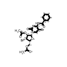 CC(=O)OC[C@H]1O[C@@H](n2cc(Br)c(NC(=O)c3ccccc3)nc2=O)[C@H](OC(C)=O)[C@H]1Br